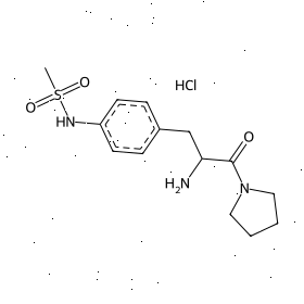 CS(=O)(=O)Nc1ccc(CC(N)C(=O)N2CCCC2)cc1.Cl